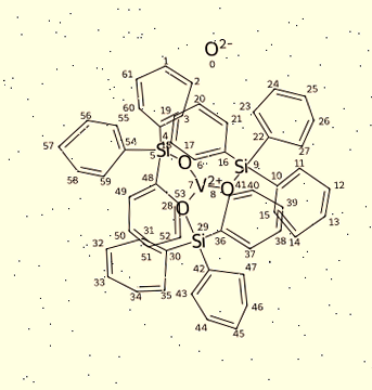 [O-2].c1ccc([Si]([O][V+2]([O][Si](c2ccccc2)(c2ccccc2)c2ccccc2)[O][Si](c2ccccc2)(c2ccccc2)c2ccccc2)(c2ccccc2)c2ccccc2)cc1